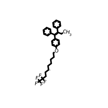 CCC(=C(c1ccccc1)c1ccc(OCCCCC[CH]CCC(F)(F)C(F)(F)F)cc1)c1ccccc1